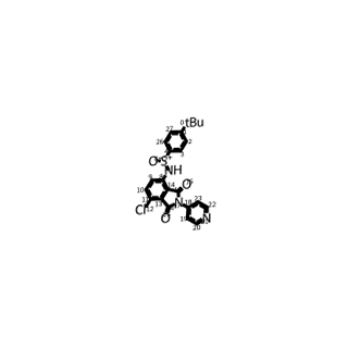 CC(C)(C)c1ccc([S+]([O-])Nc2ccc(Cl)c3c2C(=O)N(c2ccncc2)C3=O)cc1